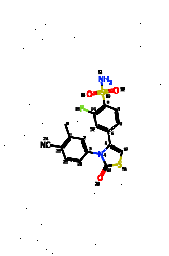 Cc1cc(-n2c(-c3ccc(S(N)(=O)=O)c(F)c3)csc2=O)ccc1C#N